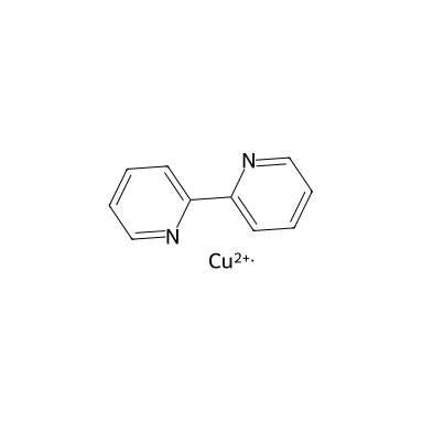 [Cu+2].c1ccc(-c2ccccn2)nc1